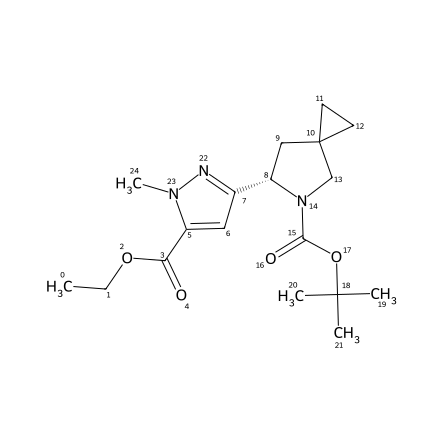 CCOC(=O)c1cc([C@@H]2CC3(CC3)CN2C(=O)OC(C)(C)C)nn1C